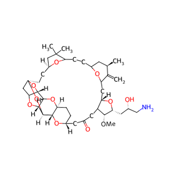 C=C1C2C[C@@H]3O[C@H](C[C@H](O)CN)[C@H](OC)C3CC(=O)C[C@H]3CC[C@@H]4O[C@@H]5[C@H]6OC7C[C@](CC[C@H]8CC(C)(C)C(CCC(C[C@H]1C)O2)O8)(O[C@H]6[C@H]4O3)O[C@@H]75